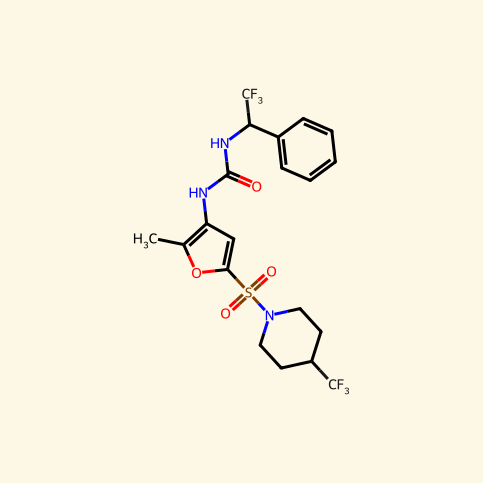 Cc1oc(S(=O)(=O)N2CCC(C(F)(F)F)CC2)cc1NC(=O)NC(c1ccccc1)C(F)(F)F